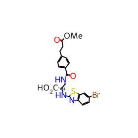 COC(=O)CCc1ccc(C(=O)NC[C@H](Nc2nc3ccc(Br)cc3s2)C(=O)O)cc1